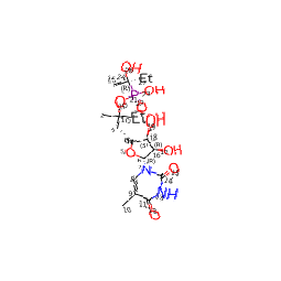 CCC(C)(C[C@H]1O[C@@H](n2cc(C)c(=O)[nH]c2=O)[C@H](O)[C@@H]1O)OP(=O)(O)[C@@](C)(O)CC